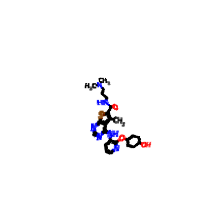 Cc1c(C(=O)NCCCN(C)C)sc2ncnc(Nc3cccnc3OC3CCC(O)CC3)c12